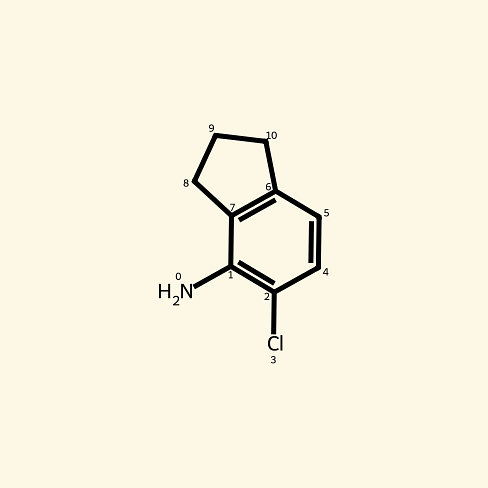 Nc1c(Cl)ccc2c1CCC2